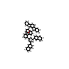 c1ccc(-n2c3ccccc3c3ccc4c5ccccc5n(-c5ccc6c(c5)oc5cccc(-c7nc(-c8ccc9ccccc9c8)nc(-c8ccc9ccccc9c8)n7)c56)c4c32)cc1